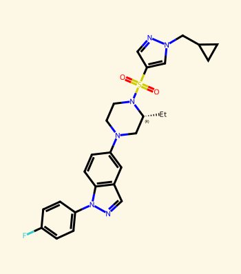 CC[C@@H]1CN(c2ccc3c(cnn3-c3ccc(F)cc3)c2)CCN1S(=O)(=O)c1cnn(CC2CC2)c1